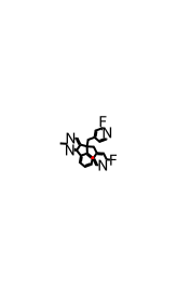 Cc1ncc2c(n1)-c1ccccc1C2(Cc1ccnc(F)c1)Cc1ccnc(F)c1